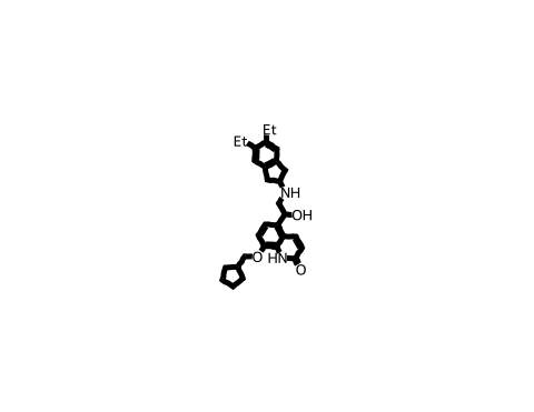 CCc1cc2c(cc1CC)CC(NCC(O)c1ccc(OCC3CCCC3)c3[nH]c(=O)ccc13)C2